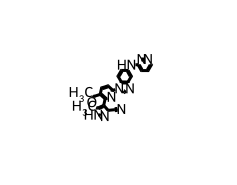 CC(=O)c1ccc(-n2cnc3cc(Nc4cccnn4)ccc32)nc1-c1c(C#N)n[nH]c1C